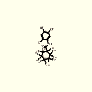 O=C(Nc1cc(Cl)c(Br)cc1Cl)C1(F)C(F)(F)C(F)(F)C(F)(F)C(F)(F)C1(F)F